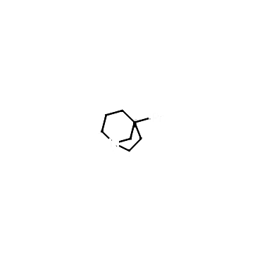 CC(C)C12CCCN(CC1)C2